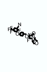 N#Cc1cc(Oc2ccc(COc3nc(=O)n4c(c3F)N3CCOCC3C4)cc2F)cc(C(F)(F)F)c1